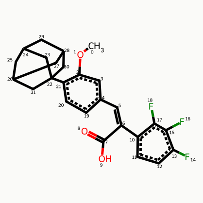 COc1cc(C=C(C(=O)O)c2ccc(F)c(F)c2F)ccc1C12CC3CC(CC(C3)C1)C2